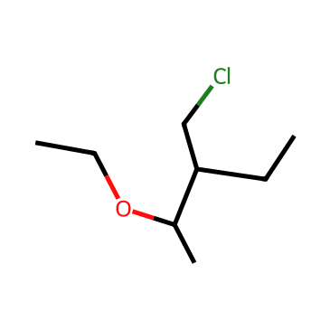 CCOC(C)C(CC)CCl